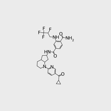 NC(=O)c1ccc(C(=O)NC2CC3CCCN(c4ccc(C(=O)C5CC5)cn4)C3C2)cc1NCC(F)C(F)(F)F